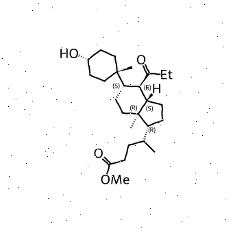 CCC(=O)[C@H]1[C@@H]2CC[C@H](C(C)CCC(=O)OC)[C@@]2(C)CC[C@@H]1[C@]1(C)CC[C@H](O)CC1